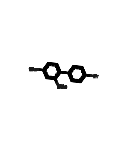 CSc1cc(C(C)(C)C)ccc1-c1ccc(C(C)C)cc1